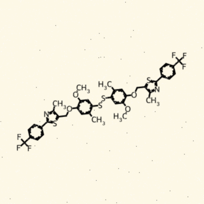 COc1cc(SSc2cc(OC)c(OCc3sc(-c4ccc(C(F)(F)F)cc4)nc3C)cc2C)c(C)cc1OCc1sc(-c2ccc(C(F)(F)F)cc2)nc1C